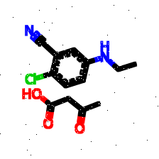 CC(=O)CC(=O)O.CCNc1ccc(Cl)c(C#N)c1